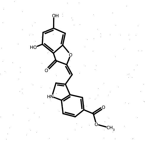 COC(=O)c1ccc2[nH]cc(/C=C3/Oc4cc(O)cc(O)c4C3=O)c2c1